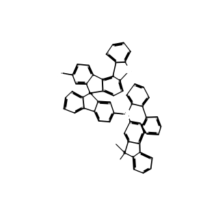 CC1(C)c2ccccc2-c2ccc(N(c3ccc4c(c3)C3(c5ccccc5-4)c4cc(Cl)ccc4-c4c3ccc3sc5ccccc5c43)c3ccccc3-c3ccccc3)cc21